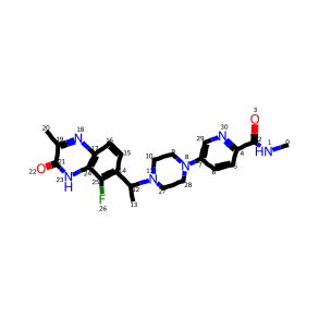 CNC(=O)c1ccc(N2CCN(C(C)c3ccc4nc(C)c(=O)[nH]c4c3F)CC2)cn1